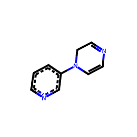 C1=CN(c2cccnc2)CC=N1